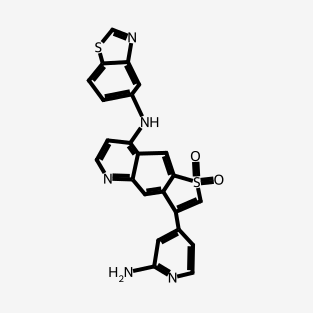 Nc1cc(C2=CS(=O)(=O)c3cc4c(Nc5ccc6scnc6c5)ccnc4cc32)ccn1